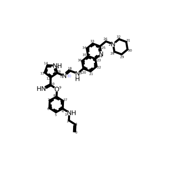 C=CCNc1cccc(OC(=N)c2cc[nH]c2/N=C/Nc2ccc3nc(CN4CCCCC4)ccc3c2)c1